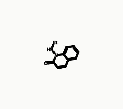 CCNn1c(=O)ccc2ccccc21